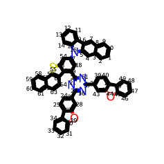 c1ccc2cc3c(cc2c1)c1ccccc1n3-c1cc(-c2nc(-c3ccc4c(c3)oc3ccccc34)nc(-c3ccc4c(c3)oc3ccccc34)n2)c2c(c1)sc1c3ccccc3ccc12